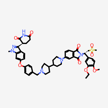 CCOc1cc([C@@H](CS(C)(=O)=O)N2C(=O)c3ccc(N4CCC(C5CCN(Cc6ccc(Oc7ccc8c([C@@H]9CCC(=O)NC9=O)nn(C)c8c7)cc6)CC5)CC4)cc3C2=O)ccc1OC